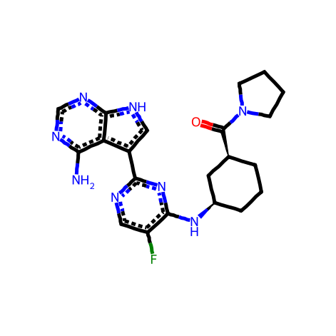 Nc1ncnc2[nH]cc(-c3ncc(F)c(N[C@@H]4CCC[C@H](C(=O)N5CCCC5)C4)n3)c12